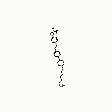 CCCCCCCC1CCC(c2ccc(CCc3ccc(OC(F)F)cc3)cc2)CC1